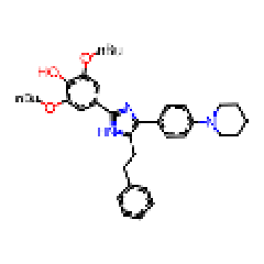 CCCCOc1cc(-c2nc(-c3ccc(N4CCCCC4)cc3)c(CCc3ccccc3)[nH]2)cc(OCCCC)c1O